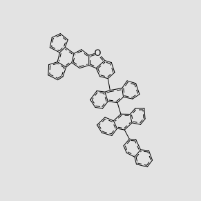 c1ccc2cc(-c3c4ccccc4c(-c4c5ccccc5c(-c5ccc6oc7cc8c9ccccc9c9ccccc9c8cc7c6c5)c5ccccc45)c4ccccc34)ccc2c1